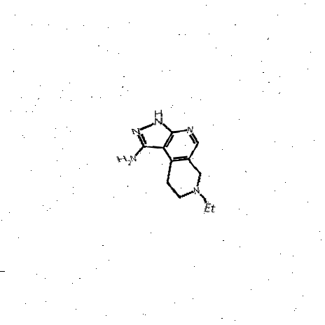 CCN1CCc2c(cnc3[nH]nc(N)c23)C1